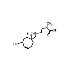 CN(CCNCC1(C)CCC=CC(O)CC1)C(=O)O